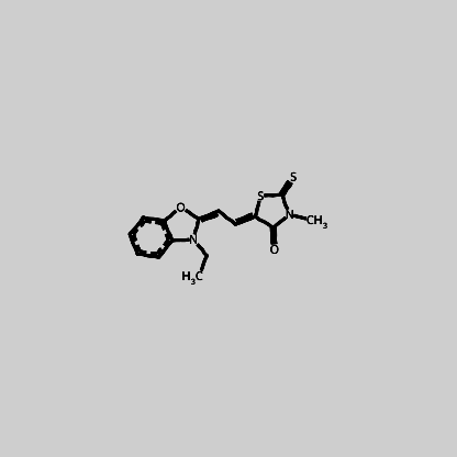 CCN1C(=CC=C2SC(=S)N(C)C2=O)Oc2ccccc21